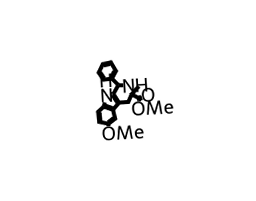 COC(=O)C1(C)Cc2c([nH]c3ccc(OC)cc23)C(c2ccccc2)N1